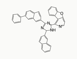 c1ccc(-c2ccc3ccc(C4=NC(c5ccc6ccccc6c5)NC(c5nccc6oc7ccccc7c56)=N4)cc3c2)cc1